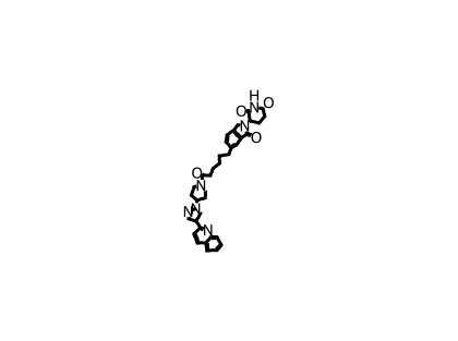 O=C1CCC(N2Cc3ccc(CCCCCC(=O)N4CCC(N5CC(c6ccc7ccccc7n6)C=N5)CC4)cc3C2=O)C(=O)N1